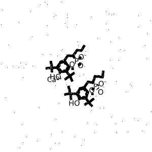 CCCC(Cc1cc(C(C)(C)C)c(O)c(C(C)(C)C)c1)P(=O)([O-])OC.CCCC(Cc1cc(C(C)(C)C)c(O)c(C(C)(C)C)c1)P(=O)([O-])OC.[Ca+2]